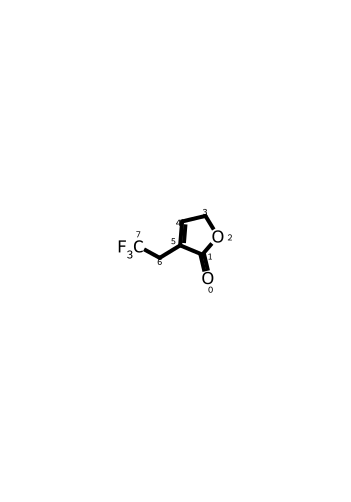 O=C1OCC=C1CC(F)(F)F